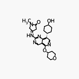 CN1C[C@@H](Nc2ncc3c(OC4CCOCC4)ncc([C@H]4CC[C@H](O)CC4)c3n2)CC1=O